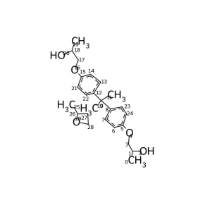 CC(O)COc1ccc(C(C)(C)c2ccc(OCC(C)O)cc2)cc1.CC1CCO1